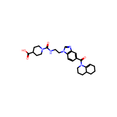 O=C(O)C1CCN(C(=O)NCCn2cnc3cc(C(=O)N4CCCC5CCCC=C54)ccc32)CC1